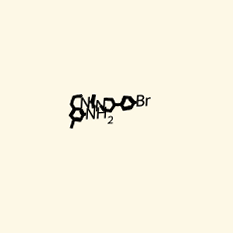 C=C(CN1CCC(c2ccc(Br)cc2)CC1)N1CCCc2cc(C)cc(N)c21